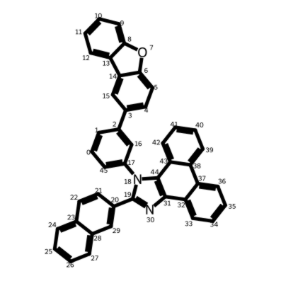 c1cc(-c2ccc3oc4ccccc4c3c2)cc(-n2c(-c3ccc4ccccc4c3)nc3c4ccccc4c4ccccc4c32)c1